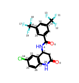 O=C1CC(NC(=O)c2cc(C(F)(F)F)cc(C(F)(F)F)c2)c2cc(Cl)ccc2N1